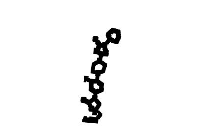 CC(=O)NC[C@H]1CN(c2ccc(N3CCN(c4nc(=O)n(-c5ccccc5)s4)CC3)c(F)c2)C(=O)O1